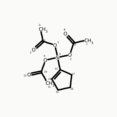 CC(=O)O[Si](OC(C)=O)(OC(C)=O)C1=CCCC1